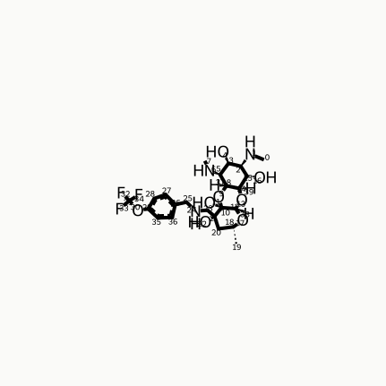 CN[C@@H]1[C@H](O)[C@H](NC)[C@H]2O[C@]3(O)[C@H](O[C@@H]2[C@H]1O)O[C@H](C)C[C@]3(O)CNCc1ccc(OC(F)(F)F)cc1